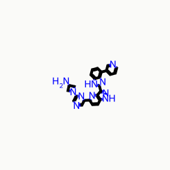 NC1CN(c2cncc(-c3ccc4[nH]nc(-c5nc6c(-c7cccnc7)cccc6[nH]5)c4n3)n2)C1